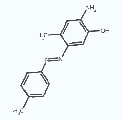 Cc1ccc(N=Nc2cc(O)c(N)cc2C)cc1